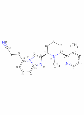 Cc1cccnc1[C@@H]1CCC[C@H](c2cn3c(CCC#N)cccc3n2)N1C